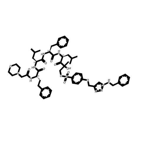 CC(C)C[C@H](NC(=O)[C@H](CCc1ccccc1)NC(=O)CN1CCOCC1)C(=O)N[C@@H](Cc1ccccc1)C(=O)N[C@@H](CC(C)C)C(=O)C(C)(O)COS(=O)(=O)c1ccc(OCc2cn(PCc3ccccc3)nn2)cc1